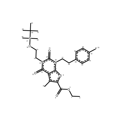 CCOC(=O)c1sc2c(c1C)c(=O)n(CCO[Si](C)(C)C(C)(C)C)c(=O)n2CCc1ccc(F)cc1